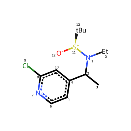 CCN(C(C)c1ccnc(Cl)c1)[S@@+]([O-])C(C)(C)C